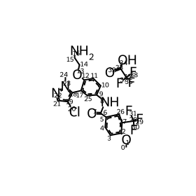 COc1ccc(C(=O)Nc2ccc(OCCN)c(-c3c(Cl)cnn3C)c2)cc1C(F)(F)F.O=C(O)C(F)(F)F